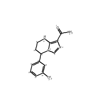 NC(=O)c1ncn2c1NCCC2c1cccc(C(F)(F)F)c1